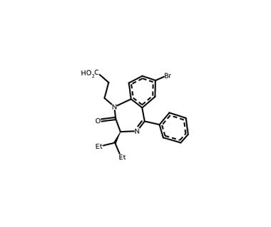 CCC(CC)[C@@H]1N=C(c2ccccc2)c2cc(Br)ccc2N(CCC(=O)O)C1=O